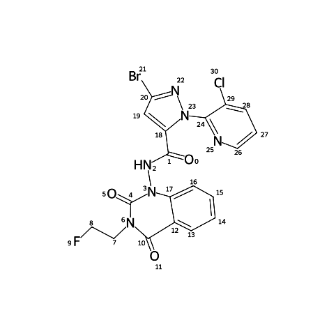 O=C(Nn1c(=O)n(CCF)c(=O)c2ccccc21)c1cc(Br)nn1-c1ncccc1Cl